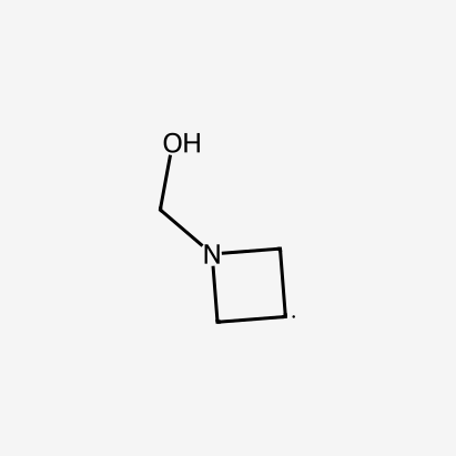 OCN1C[CH]C1